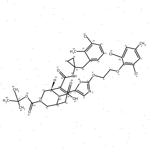 Cc1cc(Cl)c(OCCOc2ncc(C3=C(C(=O)NC4(Cc5cccc(Cl)c5C)CC4)[C@H]4CN(C(=O)OC(C)(C)C)CC(C3)N4C(=O)O)s2)c(Cl)c1